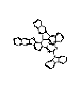 c1ccc(-c2nc(-c3ccc4c(sc5cc6ccccc6cc54)c3-n3c4ccccc4c4cc5ccccc5cc43)nc(-n3c4ccccc4c4ccccc43)n2)cc1